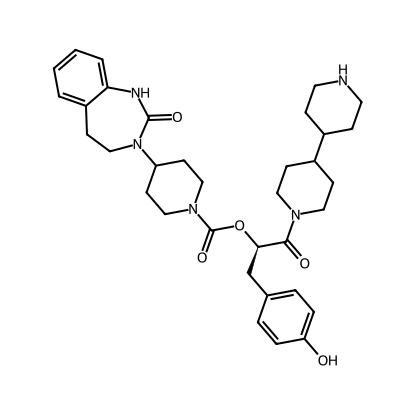 O=C(O[C@H](Cc1ccc(O)cc1)C(=O)N1CCC(C2CCNCC2)CC1)N1CCC(N2CCc3ccccc3NC2=O)CC1